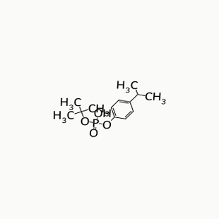 CC(C)c1ccc(OP(=O)(O)OC(C)(C)C)cc1